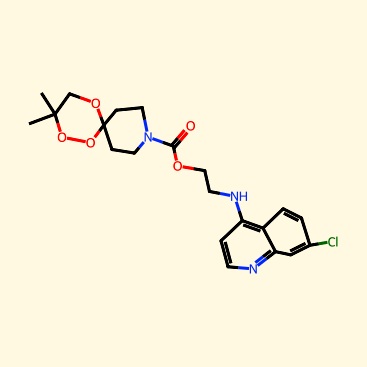 CC1(C)COC2(CCN(C(=O)OCCNc3ccnc4cc(Cl)ccc34)CC2)OO1